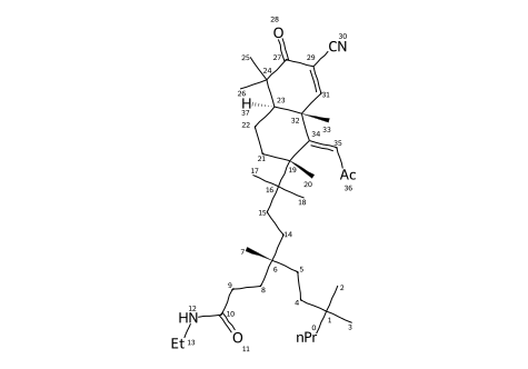 CCCC(C)(C)CC[C@](C)(CCC(=O)NCC)CCC(C)(C)[C@]1(C)CC[C@H]2C(C)(C)C(=O)C(C#N)=C[C@]2(C)/C1=C/C(C)=O